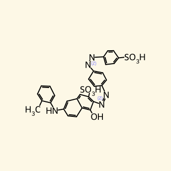 Cc1ccccc1Nc1ccc2c(O)c(/N=N\c3ccc(/N=N\c4ccc(S(=O)(=O)O)cc4)cc3)c(S(=O)(=O)O)cc2c1